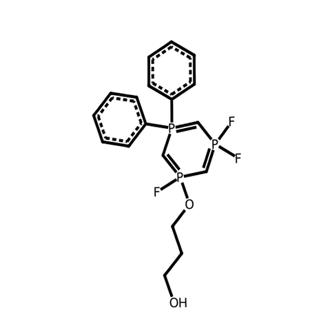 OCCCOP1(F)=CP(c2ccccc2)(c2ccccc2)=CP(F)(F)=C1